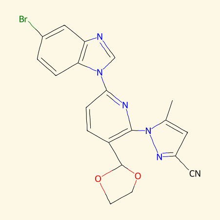 Cc1cc(C#N)nn1-c1nc(-n2cnc3cc(Br)ccc32)ccc1C1OCCO1